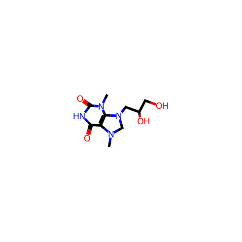 CN1CN(CC(O)CO)c2c1c(=O)[nH]c(=O)n2C